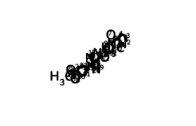 Cn1cccc1C(=O)N1CCC(Oc2ncnc3c2cnn3-c2ccc(S(C)(=O)=O)cc2)CC1